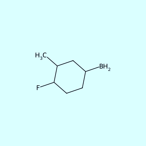 BC1CCC(F)C(C)C1